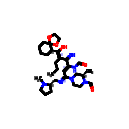 CCC/C(C(=N)/C(=C/C(=N\C[C@@H]1CCCN1C)N1CCN(C=O)[C@@H](C)C1)NC=O)=C(/O)[C@H]1CCCCC12OCCO2